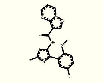 COc1ccc(Cl)cc1-c1nc(C)sc1NC(=O)c1cnn2cccnc12